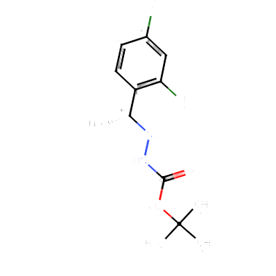 C[C@@H](NNC(=O)OC(C)(C)C)c1ccc(Cl)cc1Cl